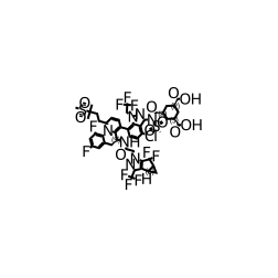 CC(C)(CCc1ccc(-c2ccc(Cl)c3c(N(C(=O)[C@@H]4C[C@H](C(=O)O)C[C@H](C(=O)O)C4)S(C)(=O)=O)nn(CC(F)(F)F)c23)c([C@H](Cc2cc(F)cc(F)c2)NC(=O)Cn2nc(C(F)(F)F)c3c2C(F)(F)C2C[C@H]32)n1)S(C)(=O)=O